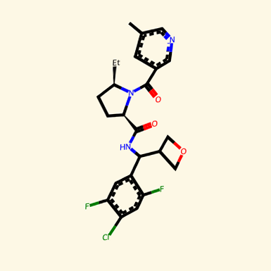 CC[C@@H]1CC[C@H](C(=O)NC(c2cc(F)c(Cl)cc2F)C2COC2)N1C(=O)c1cncc(C)c1